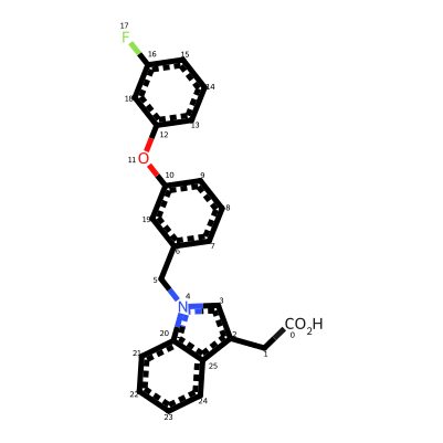 O=C(O)Cc1cn(Cc2cccc(Oc3cccc(F)c3)c2)c2ccccc12